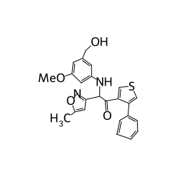 COc1cc(CO)cc(NC(C(=O)c2cscc2-c2ccccc2)c2cc(C)on2)c1